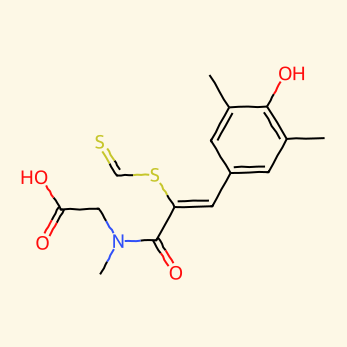 Cc1cc(/C=C(\SC=S)C(=O)N(C)CC(=O)O)cc(C)c1O